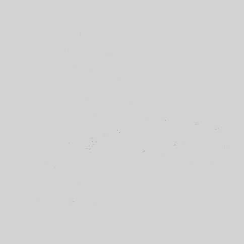 CC1/C=C\C=C/CC2(c3ccccc31)c1cccc3c#cc4cc(N(c5ccc(C6=CCCC=C6)cc5)c5ccc(-c6ccccc6)cc5)cc2c4c13